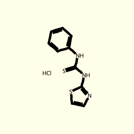 Cl.S=C(Nc1ccccc1)Nc1nccs1